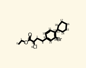 CCOC(=O)C(Cl)CCc1ccc(C2CCCCC2)c(Br)c1